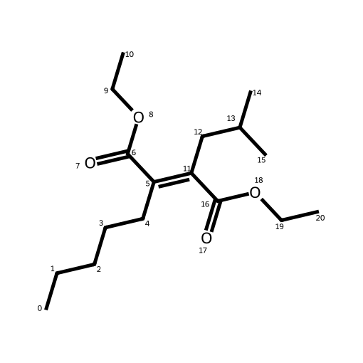 CCCCCC(C(=O)OCC)=C(CC(C)C)C(=O)OCC